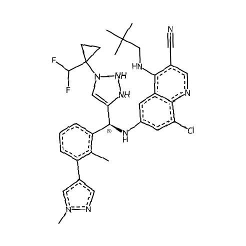 Cc1c(-c2cnn(C)c2)cccc1[C@H](Nc1cc(Cl)c2ncc(C#N)c(NCC(C)(C)C)c2c1)C1=CN(C2(C(F)F)CC2)NN1